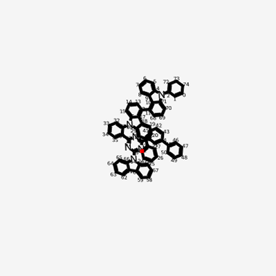 C1=CC(n2c3ccccc3c3c(-c4cccc5c4c4ccc(-c6ccccc6)cc4n5-c4ccccc4-c4nc(-c5cccc(-c6ccccc6)c5)nc(-n5c6ccccc6c6ccccc65)n4)cccc32)=CCC1